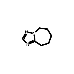 c1nc2n(n1)CCCCC2